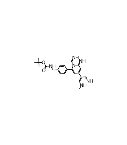 CN/C=C(\C=N)c1cc(-c2ccc(CNC(=O)OC(C)(C)C)cc2)n(C=N)c(=N)c1